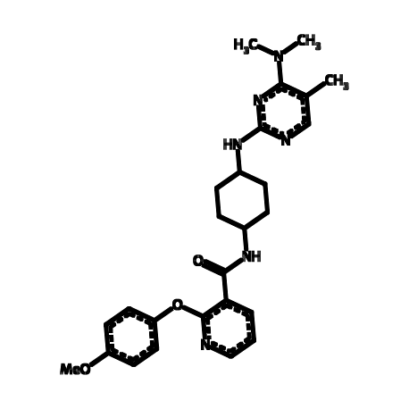 COc1ccc(Oc2ncccc2C(=O)NC2CCC(Nc3ncc(C)c(N(C)C)n3)CC2)cc1